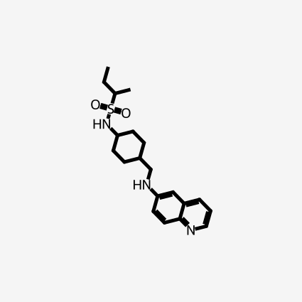 CCC(C)S(=O)(=O)NC1CCC(CNc2ccc3ncccc3c2)CC1